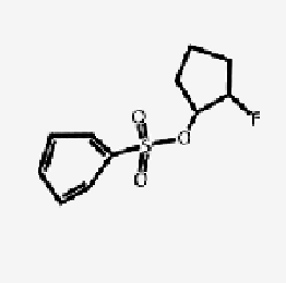 O=S(=O)(OC1CCCC1F)c1ccccc1